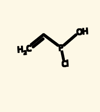 C=CP(O)Cl